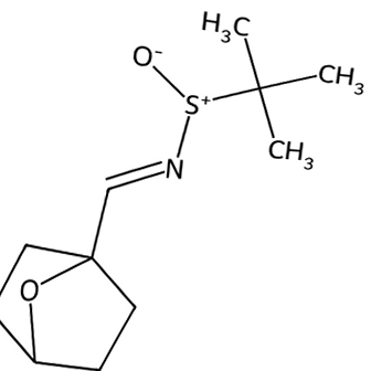 CC(C)(C)[S+]([O-])/N=C/C12CCC(CC1)O2